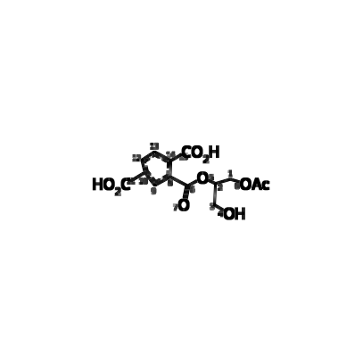 CC(=O)OCC(CO)OC(=O)c1cc(C(=O)O)ccc1C(=O)O